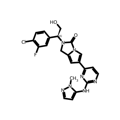 Cn1nccc1Nc1nccc(-c2cc3n(c2)C(=O)N([C@H](CO)c2ccc(Cl)c(F)c2)C3)n1